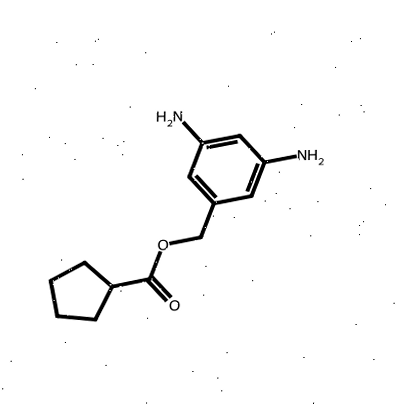 Nc1cc(N)cc(COC(=O)C2CCCC2)c1